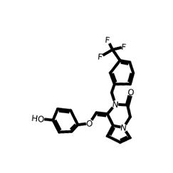 O=C1Cn2cccc2/C(=C\Oc2ccc(O)cc2)N1Cc1cccc(C(F)(F)F)c1